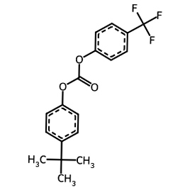 CC(C)(C)c1ccc(OC(=O)Oc2ccc(C(F)(F)F)cc2)cc1